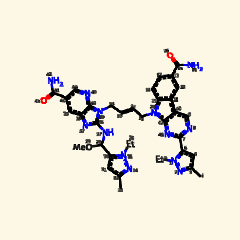 CCn1nc(C)cc1-c1ncc2c3cc(C(N)=O)ccc3n(C/C=C/Cn3c(NC(OC)c4cc(C)nn4CC)nc4cc(C(N)=O)cnc43)c2n1